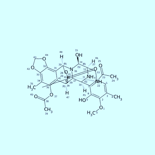 COc1c(C)cc2c(c1O)[C@@H]1N[C@H](C2)[C@H](O)N2C1[C@@H]1SC[C@H](NC(C)=O)C(=O)OC[C@H]2c2c3c(c(C)c(OC(C)=O)c21)OCO3